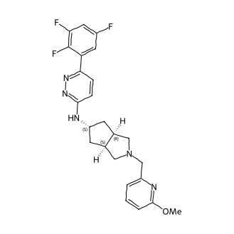 COc1cccc(CN2C[C@H]3C[C@H](Nc4ccc(-c5cc(F)cc(F)c5F)nn4)C[C@H]3C2)n1